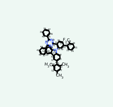 Cc1cc(C)c(-c2ccc3c(c2)c2ccccc2n3-c2cc(-c3ccccc3C(F)(F)F)ccc2-c2nc(-c3ccccc3)nc(-c3ccccc3)n2)c(C)c1